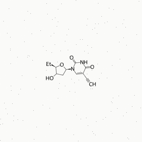 C#Cc1cn([C@H]2CC(O)[C@@H](CC)O2)c(=O)[nH]c1=O